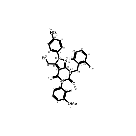 COc1cccc(-n2c(=O)c3c(CBr)n(-c4ccc([N+](=O)[O-])cc4)nc3n(Cc3c(F)cccc3F)c2=O)c1F